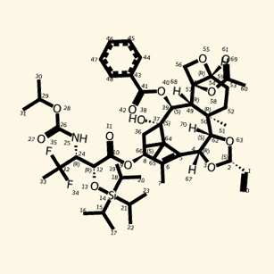 C=C[C@@H]1O[C@@H]2C3=C(C)[C@@H](OC(=O)[C@H](O[Si](C(C)C)(C(C)C)C(C)C)[C@@H](NC(=O)OC(C)C)C(C)(F)F)C[C@@](O)([C@@H](OC(=O)c4ccccc4)[C@H]4[C@@](C)(CC[C@H]5OC[C@]54OC(C)=O)[C@@H]2O1)C3(C)C